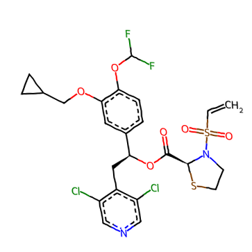 C=CS(=O)(=O)N1CCS[C@H]1C(=O)O[C@@H](Cc1c(Cl)cncc1Cl)c1ccc(OC(F)F)c(OCC2CC2)c1